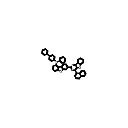 c1ccc(-c2ccc(N(c3ccccc3)c3cccc4oc5cc(-c6nc(-c7cccc8ccccc78)c7sc8ccccc8c7n6)ccc5c34)cc2)cc1